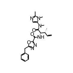 C=C[C@@H](C)[C@H](NC(=O)c1nnc(Cc2ccccc2)o1)C(=O)N(C)c1cnc(C)n1C